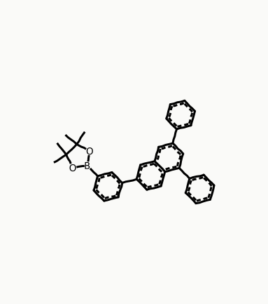 CC1(C)OB(c2cccc(-c3ccc4c(-c5ccccc5)cc(-c5ccccc5)cc4c3)c2)OC1(C)C